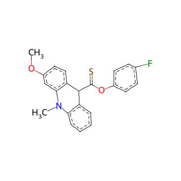 COc1ccc2c(c1)N(C)c1ccccc1C2C(=S)Oc1ccc(F)cc1